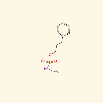 CCCCPS(=O)(=O)OCCCc1ccccc1